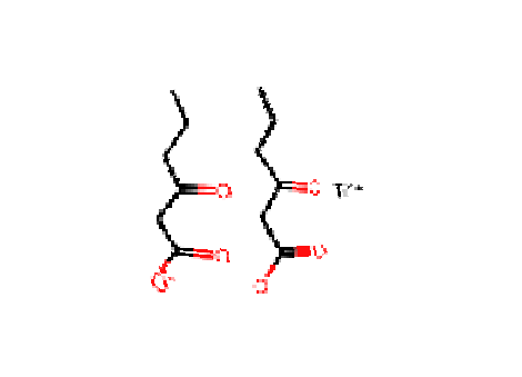 CCCC(=O)CC(=O)[O-].CCCC(=O)CC(=O)[O-].[Ti+4]